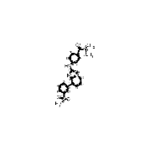 CN(C)C(=O)c1ccc(Nc2nc3c(-c4cccc(S(C)(=O)=O)c4)cccn3n2)cc1